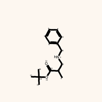 CC(CNCc1ccccc1)C(=O)OC(C)(C)C